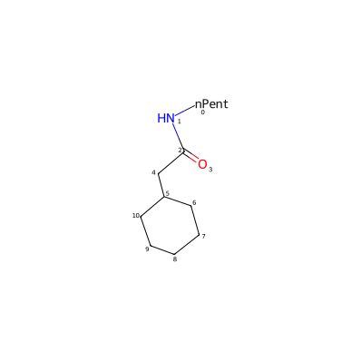 CCCCCNC(=O)CC1CCCCC1